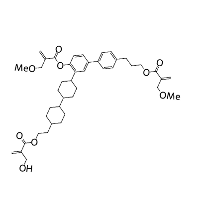 C=C(CO)C(=O)OCCC1CCC(C2CCC(c3cc(-c4ccc(CCCOC(=O)C(=C)COC)cc4)ccc3OC(=O)C(=C)COC)CC2)CC1